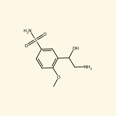 COc1ccc(S(N)(=O)=O)cc1C(O)CN